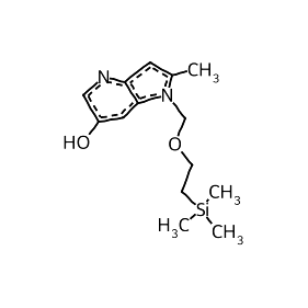 Cc1cc2ncc(O)cc2n1COCC[Si](C)(C)C